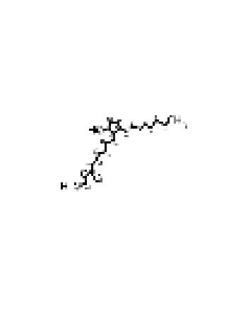 CCCCCCCSC1CCC(O)C1CCCCCCC(=O)OCC